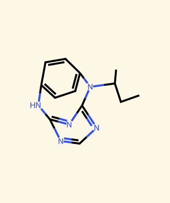 CCC(C)N1c2ccc(cc2)Nc2ncnc1n2